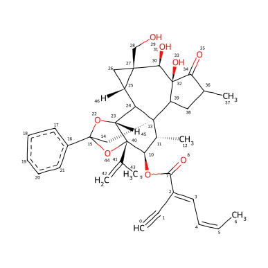 C#C/C(=C\C=C/C)C(=O)O[C@@H]1[C@@H](C)[C@@]23CC4(c5ccccc5)O[C@H](C2[C@@H]2C[C@]2(CO)[C@@H](O)[C@]2(O)C(=O)C(C)CC32)[C@@]1(C(=C)C)O4